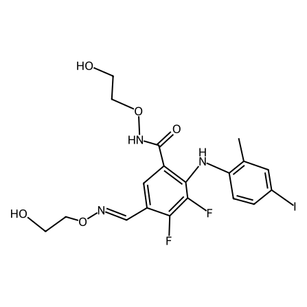 Cc1cc(I)ccc1Nc1c(C(=O)NOCCO)cc(C=NOCCO)c(F)c1F